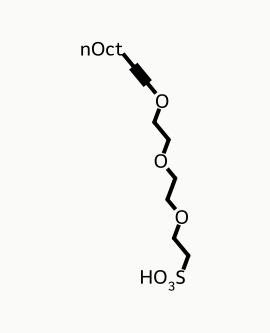 CCCCCCCCC#COCCOCCOCCS(=O)(=O)O